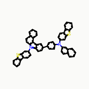 c1ccc2cc(N(c3ccc(-c4ccc5c(c4)c4c6ccccc6ccc4n5-c4ccc5c(c4)sc4ccccc45)cc3)c3ccc4c(c3)sc3ccccc34)ccc2c1